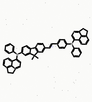 CC1(C)c2cc(/C=C/c3ccc(N(c4ccccc4)c4ccc5c6c(cccc46)CC5)cc3)ccc2-c2ccc(N(c3ccccc3)c3ccc4c5c(cccc35)CC4)cc21